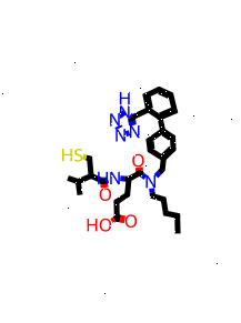 CCCCCN(Cc1ccc(-c2ccccc2-c2nnn[nH]2)cc1)C(=O)C(CCC(=O)O)NC(=O)C(CS)C(C)C